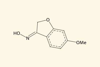 COc1ccc2c(c1)OC/C2=N\O